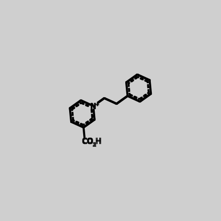 O=C(O)c1ccc[n+](CCc2ccccc2)c1